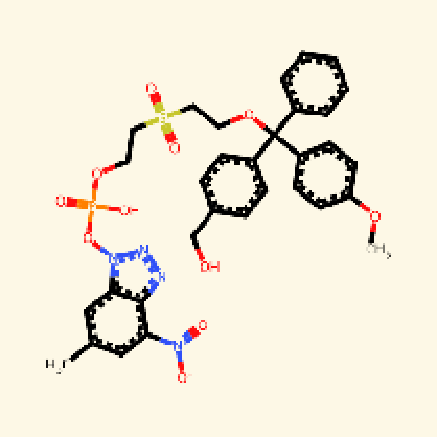 COc1ccc(C(OCCS(=O)(=O)CCOP(=O)(O)On2nnc3c([N+](=O)[O-])cc(C)cc32)(c2ccccc2)c2ccc(CO)cc2)cc1